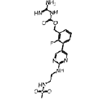 CS(=O)(=O)NCCNc1ncc(-c2cccc(COC(=O)NC(=N)N)c2F)cn1